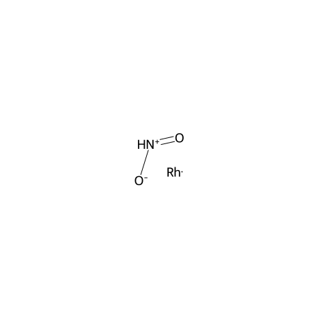 O=[NH+][O-].[Rh]